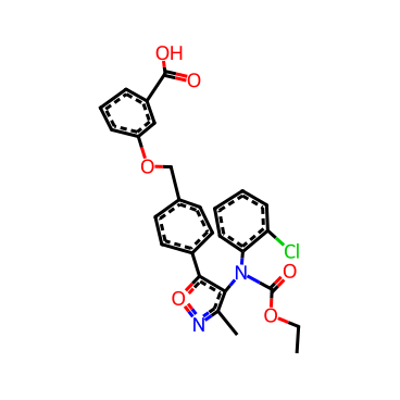 CCOC(=O)N(c1ccccc1Cl)c1c(C)noc1-c1ccc(COc2cccc(C(=O)O)c2)cc1